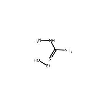 CCO.NNC(N)=S